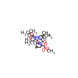 COC(=O)C(=O)C(CC1CC1)NC(=O)C1[C@@H]2C(CN1C(=O)C(NC(=O)OC(C)(C)C)C(C)(C)C)C2(C)C